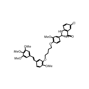 COc1cc(C2NC(=O)c3cc(Cl)ccc3N2)ccc1OCCCCOc1cc(C=Cc2cc(OC)c(OC)c(OC)c2)ccc1OC